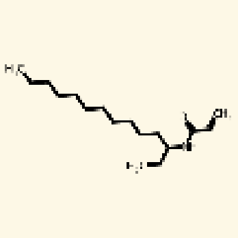 C=CC(=O)NC(CC)CCCCCCCCCCC